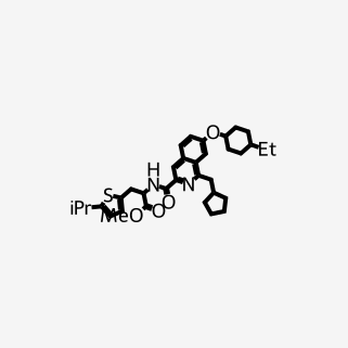 CCC1CCC(Oc2ccc3cc(C(=O)NC(Cc4ccc(C(C)C)s4)C(=O)OC)nc(CC4CCCC4)c3c2)CC1